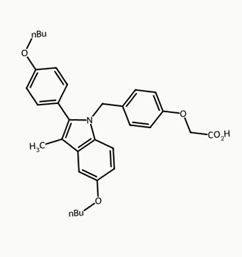 CCCCOc1ccc(-c2c(C)c3cc(OCCCC)ccc3n2Cc2ccc(OCC(=O)O)cc2)cc1